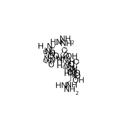 N=C(N)NCCC[C@H](NC(=O)N(Cc1ccccc1)NC(=O)[C@@H]1CCCN1C(=O)[C@H](CO)NC(=O)[C@H](Cc1ccccc1)NC(=O)CNC(=O)[C@@H]1CCCN1C(=O)[C@@H]1CCCN1C(=O)[C@@H](N)CCCNC(=N)N)C(=O)O